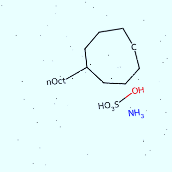 CCCCCCCCC1CCCCCCC1.N.O=S(=O)(O)O